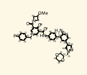 COC1CN(C(=O)c2cn(Cc3ccc(F)cc3)cc(C(=O)Nc3ccc(-c4cc(-c5cnn(C[C@H]6COCCO6)c5)cnc4N)cc3)c2=O)C1